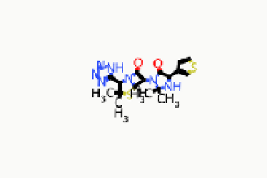 CC1(C)S[C@@H]2C(N3C(=O)C(c4ccsc4)NC3(C)C)C(=O)N2C1c1nnn[nH]1